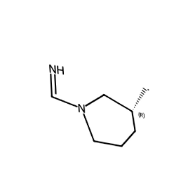 [CH2][C@@H]1CCCN(C=N)C1